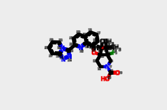 CC(C)(C)C1(F)CN(C(=O)O)CCC1(Oc1cccc2ccc(-c3nnc4ccccn34)nc12)C(C)(C)C